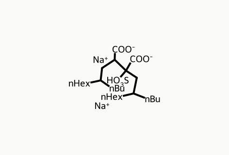 CCCCCCC(CCCC)CC(C(=O)[O-])C(CC(CCCC)CCCCCC)(C(=O)[O-])S(=O)(=O)O.[Na+].[Na+]